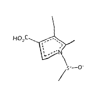 Cc1c(C(=O)O)cn([S+](C)[O-])c1C